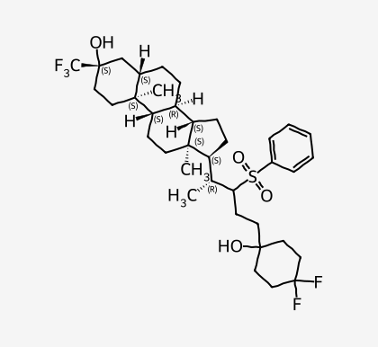 C[C@@H](C(CCC1(O)CCC(F)(F)CC1)S(=O)(=O)c1ccccc1)[C@@H]1CC[C@H]2[C@@H]3CC[C@H]4C[C@](O)(C(F)(F)F)CC[C@]4(C)[C@H]3CC[C@@]21C